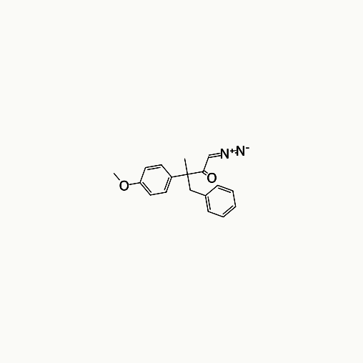 COc1ccc(C(C)(Cc2ccccc2)C(=O)C=[N+]=[N-])cc1